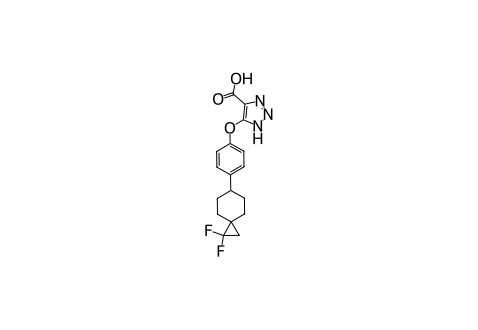 O=C(O)c1nn[nH]c1Oc1ccc(C2CCC3(CC2)CC3(F)F)cc1